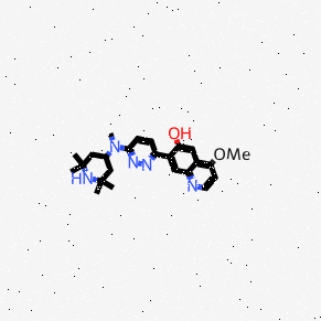 COc1ccnc2cc(-c3ccc(N(C)C4CC(C)(C)NC(C)(C)C4)nn3)c(O)cc12